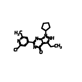 CCc1[nH]n(C2CCCC2)c2nc(-c3cc(C)nc(Cl)c3)nc(=O)c1-2